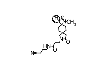 CN(C)[C@]1(c2ccccc2)CC[C@@]2(CC1)CC(=O)N(CCC(=O)NCCCC#N)C2